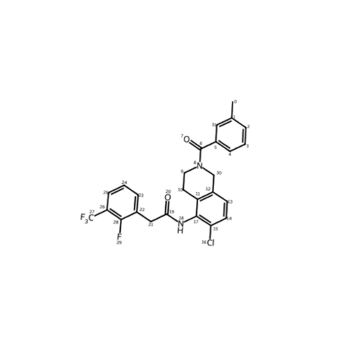 Cc1cccc(C(=O)N2CCc3c(ccc(Cl)c3NC(=O)Cc3cccc(C(F)(F)F)c3F)C2)c1